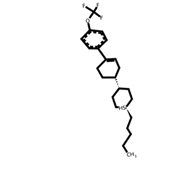 CCCCC[Si@H]1CC[C@H](C2CC=C(c3ccc(OC(F)(F)F)cc3)CC2)CC1